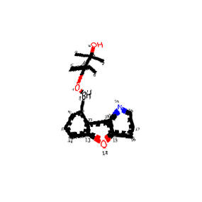 CC(C)(O)C(C)(C)OBc1cccc2oc3cccnc3c12